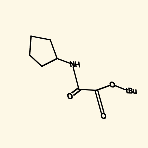 CC(C)(C)OC(=O)C(=O)NC1CCCC1